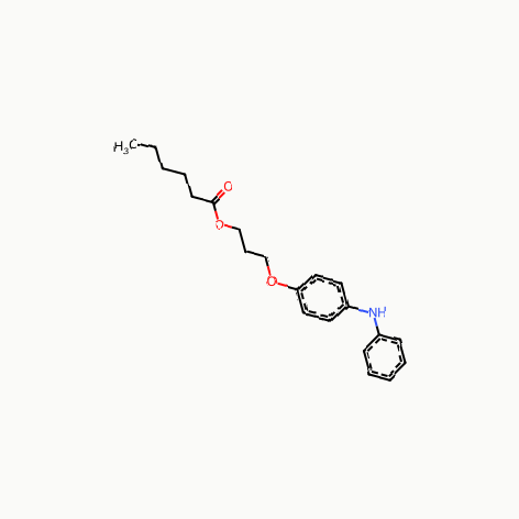 CCCCCC(=O)OCCCOc1ccc(Nc2ccccc2)cc1